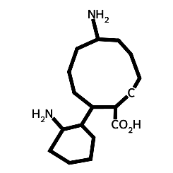 NC1CCCCC(C(=O)O)C(C2CCCCC2N)CCC1